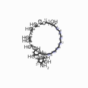 C[C@@H]1[C@H](O)[C@@H](C)/C=C/C=C/C=C/C=C/C=C/C=C/C=C/[C@H](OC2O[C@H](C)[C@@H](C)[C@H](N)[C@@H]2O)C[C@@H]2O[C@](O)(C[C@@H](O)C[C@@H](O)[C@H](O)CC[C@@H](O)C[C@@H](O)CC(=O)O[C@H]1C)C[C@H](O)[C@H]2C(=O)O